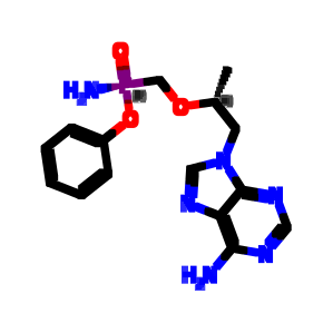 C[C@H](Cn1cnc2c(N)ncnc21)OC[P@@](N)(=O)Oc1ccccc1